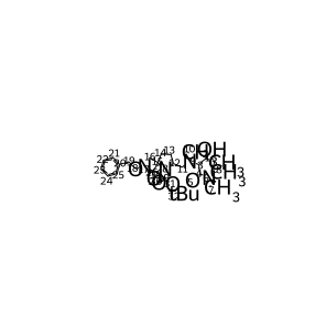 CC(O)C(C(=O)N(C)C)N(C)CC1CCC2(CN(OCc3ccccc3)C2=O)N1C(=O)OC(C)(C)C